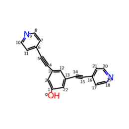 Oc1cc(C#Cc2ccncc2)cc(C#Cc2ccncc2)c1